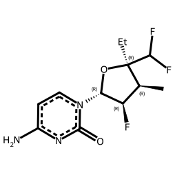 CC[C@@]1(C(F)F)O[C@@H](n2ccc(N)nc2=O)[C@H](F)[C@@H]1C